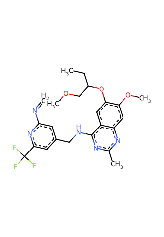 C=Nc1cc(CNc2nc(C)nc3cc(OC)c(OC(CC)COC)cc23)cc(C(F)(F)F)n1